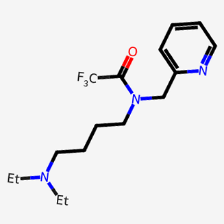 CCN(CC)CCCCN(Cc1ccccn1)C(=O)C(F)(F)F